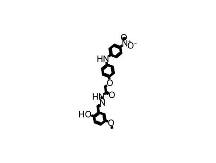 COc1ccc(O)c(C=NNC(=O)COc2ccc(Nc3ccc([N+](=O)[O-])cc3)cc2)c1